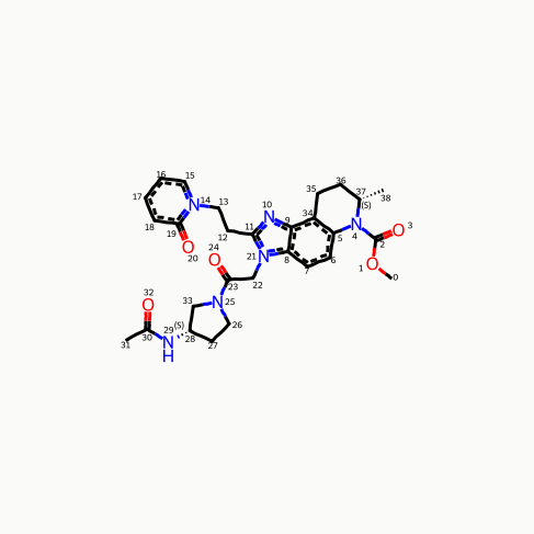 COC(=O)N1c2ccc3c(nc(CCn4ccccc4=O)n3CC(=O)N3CC[C@H](NC(C)=O)C3)c2CC[C@@H]1C